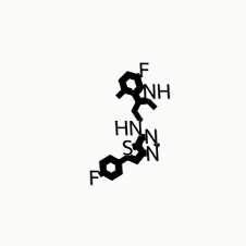 Cc1[nH]c2c(F)ccc(C)c2c1CCNc1ncnc2cc(-c3ccc(F)cc3)sc12